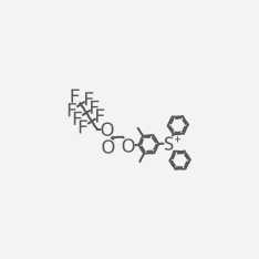 Cc1cc([S+](c2ccccc2)c2ccccc2)cc(C)c1OCC(=O)OCC(F)(F)C(F)(F)C(F)(F)F